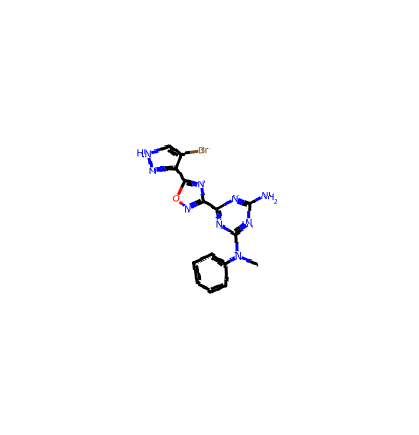 CN(c1ccccc1)c1nc(N)nc(-c2noc(-c3n[nH]cc3Br)n2)n1